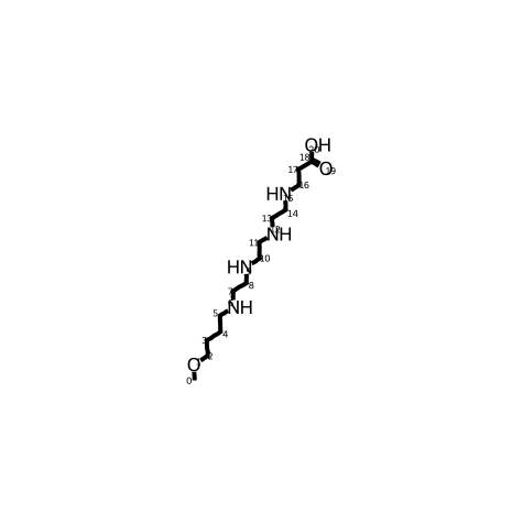 COCCCCNCCNCCNCCNCCC(=O)O